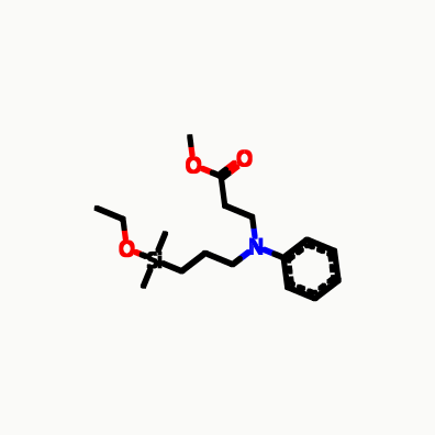 CCO[Si](C)(C)CCCN(CCC(=O)OC)c1ccccc1